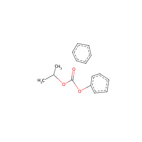 CC(C)OC(=O)Oc1ccccc1.c1ccccc1